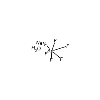 F[As-](F)(F)(F)(F)F.O.[Na+]